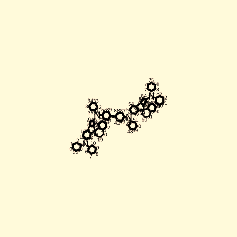 c1ccc(N(c2ccccc2)c2ccc3c(c2)C2(CCCc4ccccc42)c2cc(N(c4ccccc4)c4ccc(-c5ccc(N(c6ccccc6)c6ccc7c(c6)C6(CCCc8ccccc86)c6cc(N(c8ccccc8)c8ccccc8)ccc6-7)cc5)cc4)ccc2-3)cc1